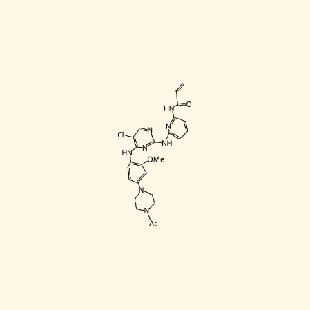 C=CC(=O)Nc1cccc(Nc2ncc(Cl)c(Nc3ccc(N4CCN(C(C)=O)CC4)cc3OC)n2)n1